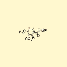 C[C@@H]1CCN(C(=O)OC(C)(C)C)[C@@H](C(=O)O)C1